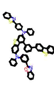 c1ccc(N(c2ccc(-c3nc4ccccc4s3)cc2)c2cc(-c3cccc(-c4ccc5c(c4)sc4ccccc45)c3)c3c(c2)sc2ccc(N(c4ccccc4)c4cccc(-c5nc6ccccc6o5)c4)cc23)cc1